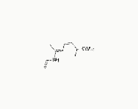 C=CN/C(C)=C/C=C\C(C)OC